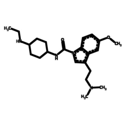 CCNC1CCC(NC(=O)n2cc(CCN(C)C)c3cc(OC)ccc32)CC1